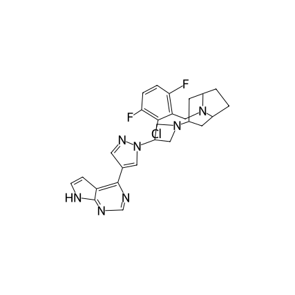 Fc1ccc(F)c(CN2C3CCC2CC(N2CC(n4cc(-c5ncnc6[nH]ccc56)cn4)C2)C3)c1Cl